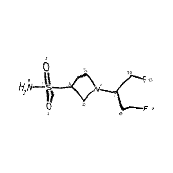 NS(=O)(=O)C1CN(C(CF)CF)C1